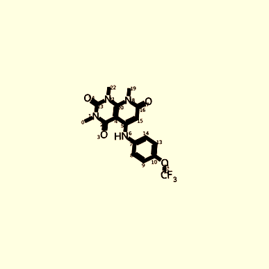 Cn1c(=O)c2c(Nc3ccc(OC(F)(F)F)cc3)cc(=O)n(C)c2n(C)c1=O